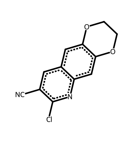 N#Cc1cc2cc3c(cc2nc1Cl)OCCO3